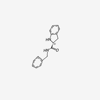 O=C(NCc1ccccc1)[C@@H]1Cc2ccccc2N1